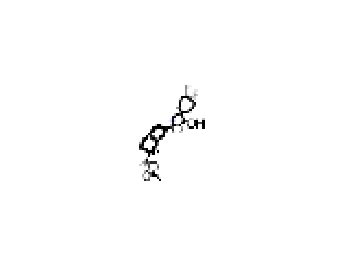 CC(=O)O[C@H](C)c1ccc2ccc(/C=C/C3(C(=O)O)CCC(F)(F)CC3)cc2n1